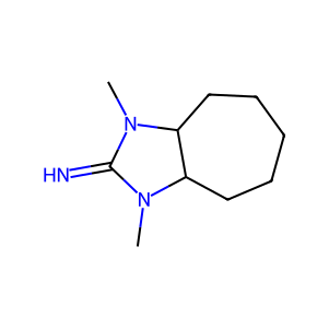 CN1C(=N)N(C)C2CCCCCC21